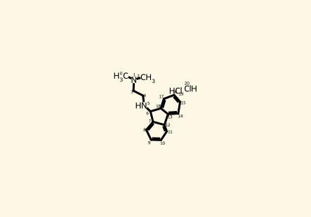 CN(C)CCNC1c2ccccc2-c2ccccc21.Cl.Cl